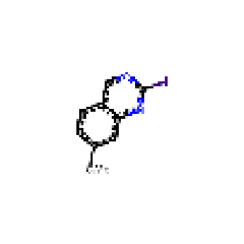 COc1ccc2cnc(I)nc2c1